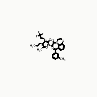 CCC[C@H](C(C)=O)[C@@H](CCC(F)(F)F)C(=O)N[C@H]1N=C(c2cccc(C)c2)c2cccc3c2N(CCO3)C1=O